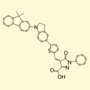 CC1(C)c2ccccc2-c2ccc(N3CCc4cc(-c5ccc(/C=C6\C(=O)N(c7ccccc7)N=C6C(=O)O)s5)ccc43)cc21